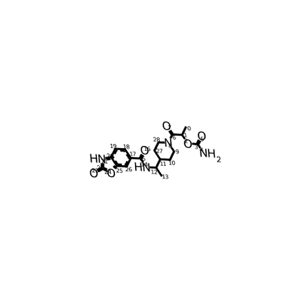 CC(OC(N)=O)C(=O)N1CCC(C(C)NC(=O)c2ccc3[nH]c(=O)oc3c2)CC1